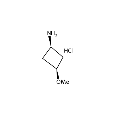 CO[C@H]1C[C@@H](N)C1.Cl